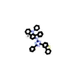 c1ccc(-c2nc(-c3ccc4c(c3)C3CCCCC3S4)nc(-n3c4ccccc4c4c5c(ccc43)[C@H]3CCCCC3N5C3CCCCC3)n2)cc1